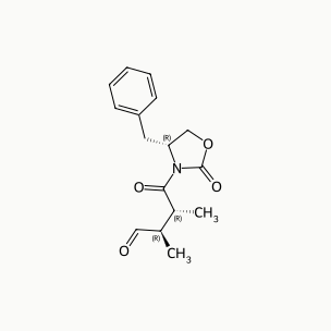 C[C@@H](C=O)[C@@H](C)C(=O)N1C(=O)OC[C@H]1Cc1ccccc1